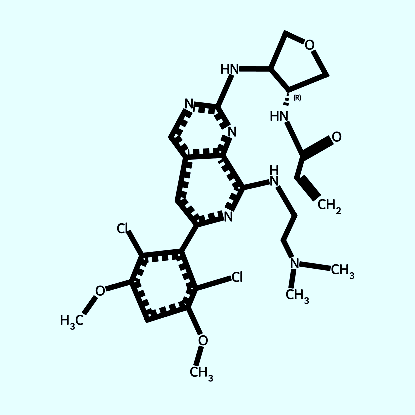 C=CC(=O)N[C@H]1COCC1Nc1ncc2cc(-c3c(Cl)c(OC)cc(OC)c3Cl)nc(NCCN(C)C)c2n1